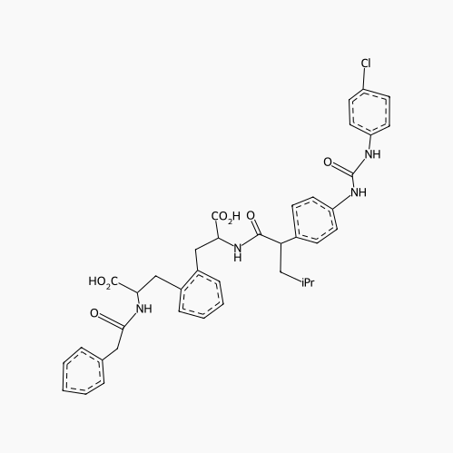 CC(C)CC(C(=O)NC(Cc1ccccc1CC(NC(=O)Cc1ccccc1)C(=O)O)C(=O)O)c1ccc(NC(=O)Nc2ccc(Cl)cc2)cc1